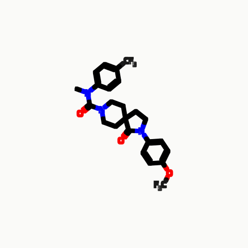 CN(C(=O)N1CCC2(CC1)CCN(c1ccc(OC(F)(F)F)cc1)C2=O)c1ccc(C(F)(F)F)cc1